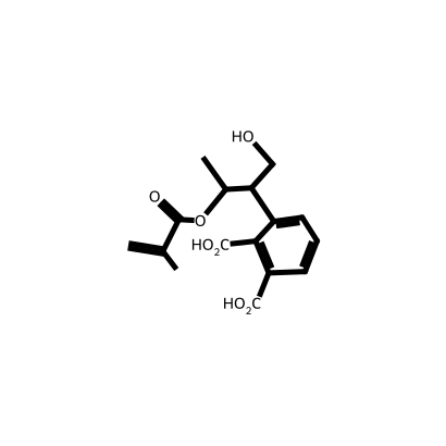 C=C(C)C(=O)OC(C)C(CO)c1cccc(C(=O)O)c1C(=O)O